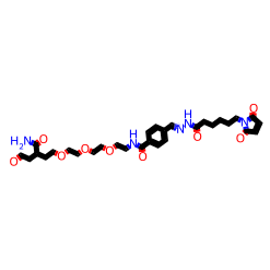 NC(=O)C(CC=O)CCOCCOCCOCCNC(=O)c1ccc(/C=N/NC(=O)CCCCCN2C(=O)C=CC2=O)cc1